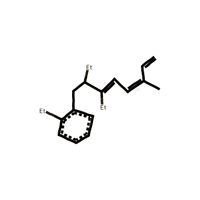 C=C/C(C)=C\C=C(/CC)C(CC)Cc1ccccc1CC